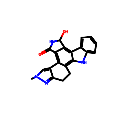 Cn1cc2c(n1)CCc1c-2c2c(c3c1[nH]c1ccccc13)C(O)NC2=O